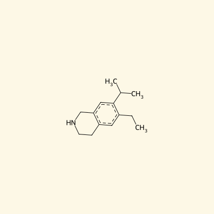 CCc1cc2c(cc1C(C)C)CNCC2